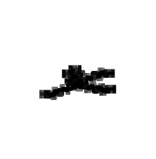 NNC(=O)NC(COCCOCCS)(COCCOCCS)COCCOCCS